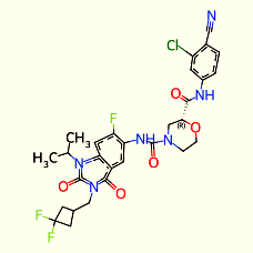 CC(C)n1c(=O)n(CC2CC(F)(F)C2)c(=O)c2cc(NC(=O)N3CCO[C@@H](C(=O)Nc4ccc(C#N)c(Cl)c4)C3)c(F)cc21